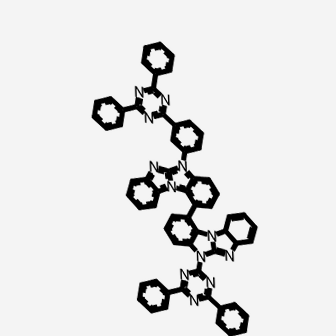 C1=CC2N=C3N(c4nc(-c5ccccc5)nc(-c5ccccc5)n4)c4cccc(-c5cccc6c5n5c7ccccc7nc5n6-c5cccc(-c6nc(-c7ccccc7)nc(-c7ccccc7)n6)c5)c4N3C2C=C1